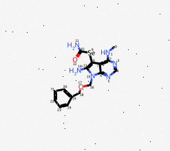 CNc1ncnc2c1c([Se]C(N)=O)c(N)n2COCc1ccccc1